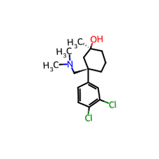 CN(C)C[C@]1(c2ccc(Cl)c(Cl)c2)CCC[C@](C)(O)C1